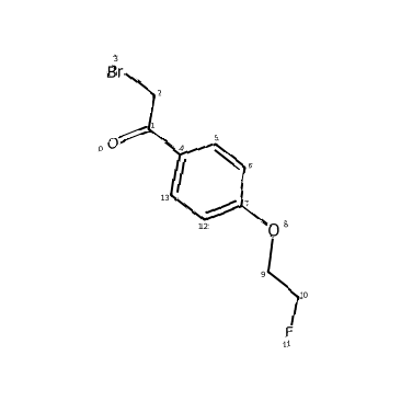 O=C(CBr)c1ccc(OCCF)cc1